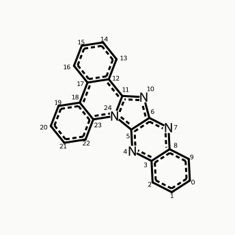 c1ccc2nc3c(nc2c1)nc1c2ccccc2c2ccccc2n31